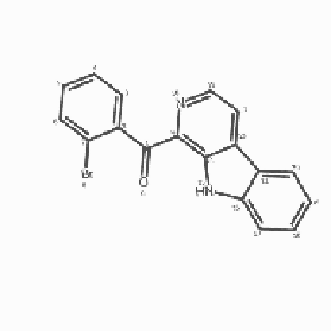 O=C(c1ccccc1Br)c1nccc2c1[nH]c1ccccc12